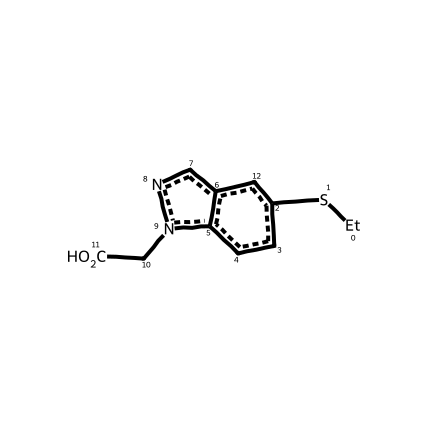 CCSc1ccc2c(cnn2CC(=O)O)c1